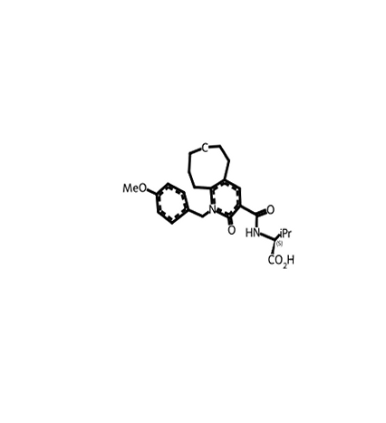 COc1ccc(Cn2c3c(cc(C(=O)N[C@H](C(=O)O)C(C)C)c2=O)CCCCCC3)cc1